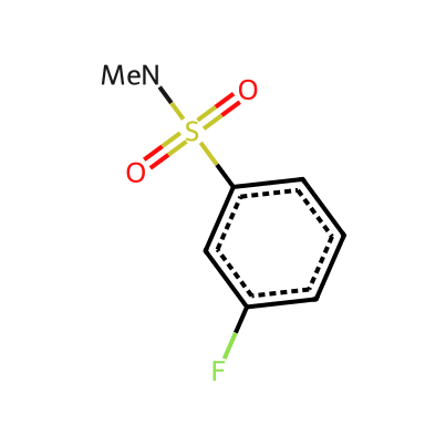 [CH2-][NH2+]S(=O)(=O)c1cccc(F)c1